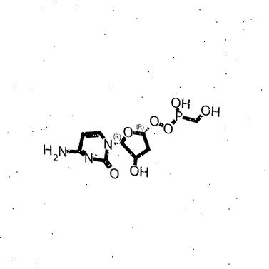 Nc1ccn([C@@H]2O[C@H](OOP(O)CO)CC2O)c(=O)n1